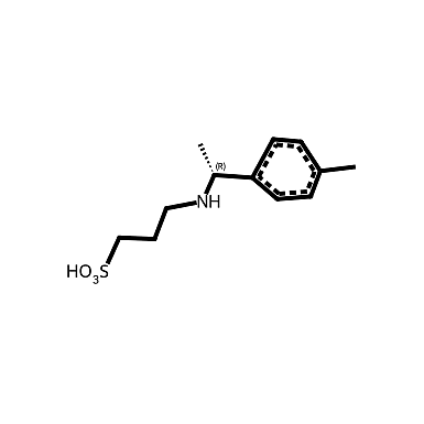 Cc1ccc([C@@H](C)NCCCS(=O)(=O)O)cc1